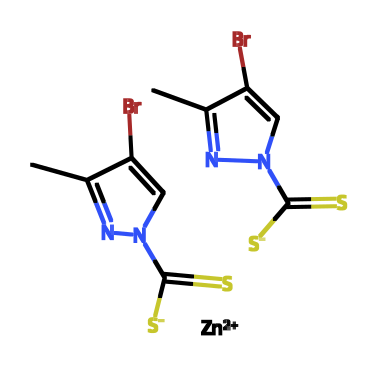 Cc1nn(C(=S)[S-])cc1Br.Cc1nn(C(=S)[S-])cc1Br.[Zn+2]